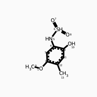 COc1cc(N[SH](=O)=O)c(O)cc1C